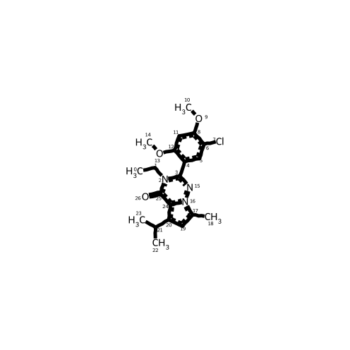 CCn1c(-c2cc(Cl)c(OC)cc2OC)nn2c(C)cc(C(C)C)c2c1=O